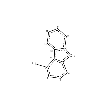 Ic1cccc2oc3ccccc3c12